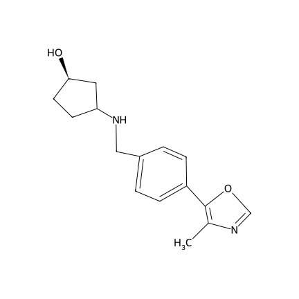 Cc1ncoc1-c1ccc(CNC2CC[C@@H](O)C2)cc1